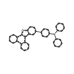 c1ccc(N(c2ccccc2)c2ccc(-c3ccc4oc5c6ccccc6c6ccccc6c5c4c3)cc2)cc1